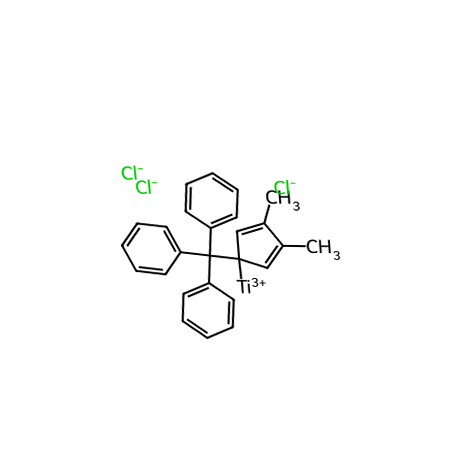 CC1=C[C]([Ti+3])(C(c2ccccc2)(c2ccccc2)c2ccccc2)C=C1C.[Cl-].[Cl-].[Cl-]